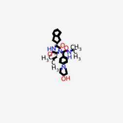 CC(C)C[C@@H]1C(=O)N[C@H](C2Cc3ccccc3C2)C(=O)N1[C@@H](C(=O)NC(C)C)c1ccc(N2CCC(O)CC2)cc1